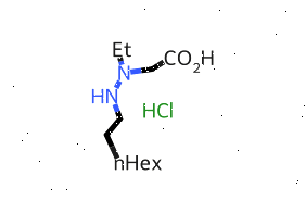 CCCCCCCCNN(CC)CC(=O)O.Cl